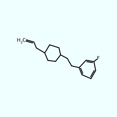 C=CCC1CCC(CCc2cccc(F)c2)CC1